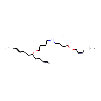 CCC/C=C/CCC(CC/C=C/CCC)OC(=O)CCCN(C=O)CCCC(=O)OC/C=C\CCCCCC